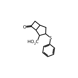 O=C1CC2CC(Sc3ccccc3)C(C(=O)O)C12